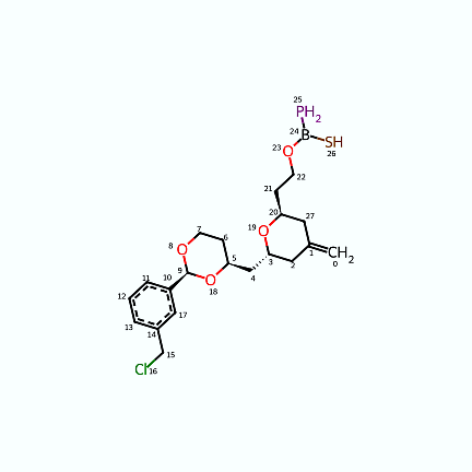 C=C1C[C@H](C[C@@H]2CCO[C@H](c3cccc(CCl)c3)O2)O[C@@H](CCOB(P)S)C1